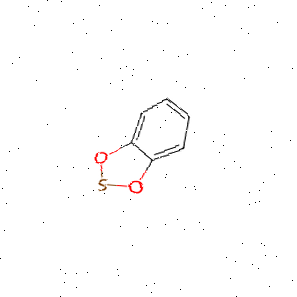 c1ccc2c(c1)OSO2